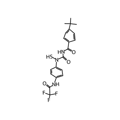 CC(C)(C)c1ccc(C(=O)NC(=O)N(S)c2ccc(NC(=O)C(F)(F)F)cc2)cc1